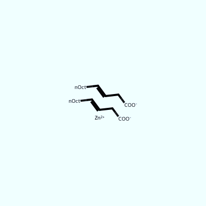 CCCCCCCCC=CCC(=O)[O-].CCCCCCCCC=CCC(=O)[O-].[Zn+2]